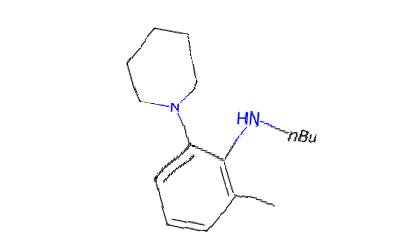 CCCCNc1c(C)cccc1N1CCCCC1